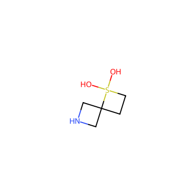 OS1(O)CCC12CNC2